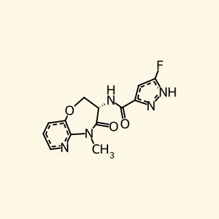 CN1C(=O)[C@@H](NC(=O)c2cc(F)[nH]n2)COc2cccnc21